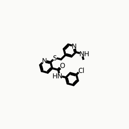 CNc1cc(CSc2ncccc2C(=O)Nc2cccc(Cl)c2)ccn1